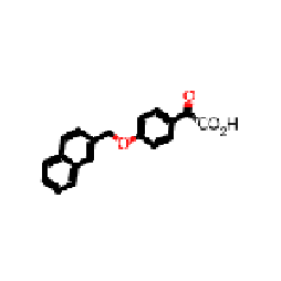 O=C(O)C(=O)c1ccc(OCc2ccc3ccccc3c2)cc1